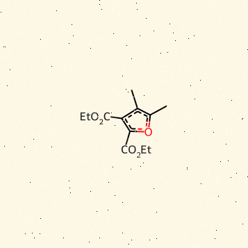 CCOC(=O)c1oc(C)c(C)c1C(=O)OCC